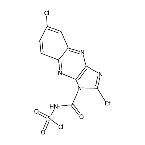 CCc1nc2nc3cc(Cl)ccc3nc2n1C(=O)NS(=O)(=O)Cl